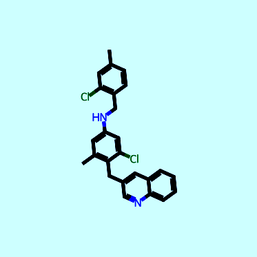 Cc1ccc(CNc2cc(C)c(Cc3cnc4ccccc4c3)c(Cl)c2)c(Cl)c1